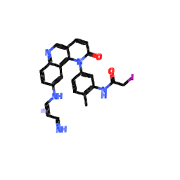 Cc1ccc(-n2c(=O)ccc3cnc4ccc(N/C=C\C=N)cc4c32)cc1NC(=O)CI